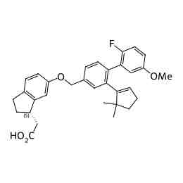 COc1ccc(F)c(-c2ccc(COc3ccc4c(c3)[C@H](CC(=O)O)CC4)cc2C2=CCCC2(C)C)c1